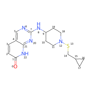 O=c1ccc2cnc(NC3CCN(SCC4CC4)CC3)nc2[nH]1